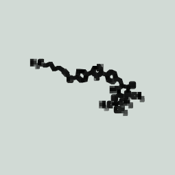 CCCCCC#COc1ccc(-c2cnc(-c3ccc(CC(NC(=O)OC(C)(C)C)C(=O)OC)cc3)s2)cc1